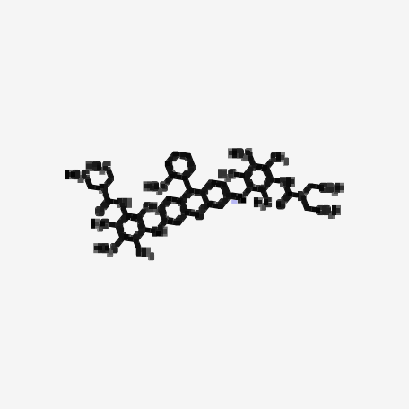 Cc1c(/N=c2\ccc3c(-c4ccccc4S(=O)(=O)O)c4ccc(Nc5c(C)c(NC(=O)N(CC(=O)O)CC(=O)O)c(C)c(S(=O)(=O)O)c5C)cc4oc-3c2)c(C)c(S(=O)(=O)O)c(C)c1NC(=O)N(CC(=O)O)CC(=O)O